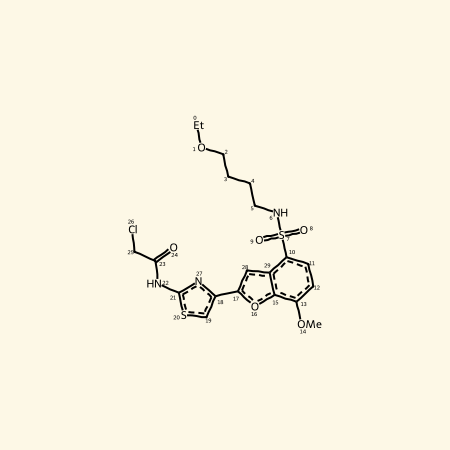 CCOCCCCNS(=O)(=O)c1ccc(OC)c2oc(-c3csc(NC(=O)CCl)n3)cc12